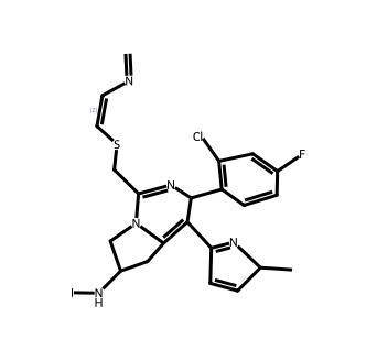 C=N/C=C\SCC1=NC(c2ccc(F)cc2Cl)C(C2=NC(C)C=C2)=C2CC(NI)CN12